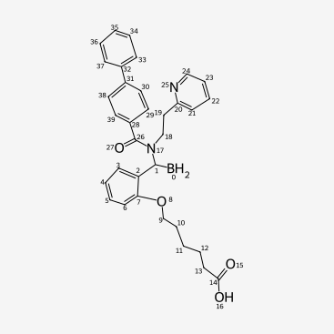 BC(c1ccccc1OCCCCCC(=O)O)N(CCc1ccccn1)C(=O)c1ccc(-c2ccccc2)cc1